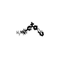 CC(C)(C)C(c1ccc(OCc2ccccn2)cc1)c1ccc(-c2nnn(N)n2)cn1